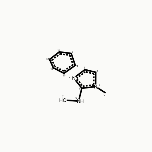 Cn1ccnc1NO.c1ccccc1